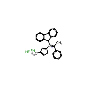 CC1=CC[C](/[Zr](=[C](/C)c2ccccc2)[CH]2c3ccccc3-c3ccccc32)=C1.F.F